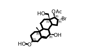 CC(=O)O[C@H]1[C@H](Br)CC2C3C(CC[C@@]21CO)[C@@]1(C)CC[C@H](OO)CC1=C[C@@H]3O